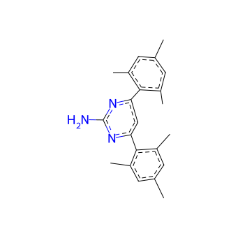 Cc1cc(C)c(-c2cc(-c3c(C)cc(C)cc3C)nc(N)n2)c(C)c1